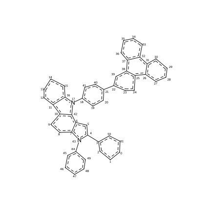 c1ccc(-c2cc3c(ccc4c5ccccc5n(-c5ccc(-c6ccc7c8ccccc8c8ccccc8c7c6)cc5)c43)n2-c2ccccc2)cc1